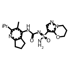 Cc1c(C(C)C)nc2c(c1NC(=O)N=S(N)(=O)c1cnn3c1OCCC3)CCC2